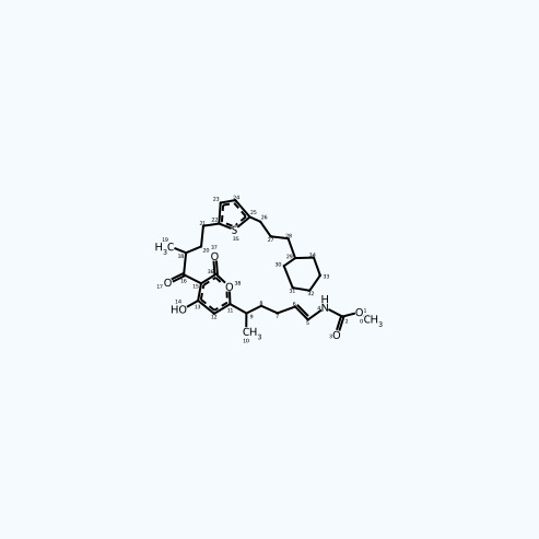 COC(=O)N/C=C/CCC(C)c1cc(O)c(C(=O)C(C)CCc2ccc(CCCC3CCCCC3)s2)c(=O)o1